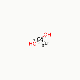 [Cu].[OH][Co][OH]